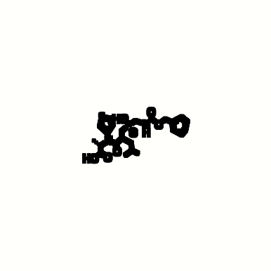 CC(C)CC(CP(=O)(O)CNC(=O)OCc1ccccc1)C(=O)N(c1ccsc1)[C@@H](C)C(=O)O